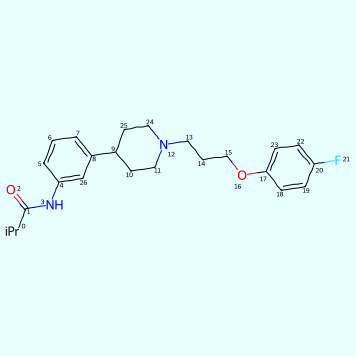 CC(C)C(=O)Nc1cccc(C2CCN(CCCOc3ccc(F)cc3)CC2)c1